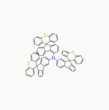 c1ccc2c(c1)Sc1ccccc1C21c2ccccc2-c2cc(N(c3ccc4c(c3)C3(c5ccccc5Sc5ccccc53)c3ccccc3-4)c3cccc4c3-c3ccccc3C43c4ccccc4Sc4ccccc43)ccc21